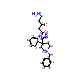 NCCC(=O)Cc1nc(C2(C3C=CC=CC3)CCN(Cc3ccccc3)CC2)no1